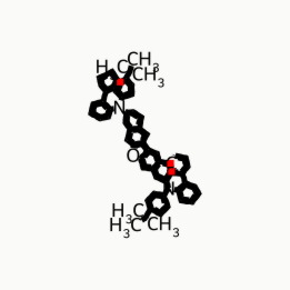 CC(C)(C)c1ccc(N(c2ccc3cc4c(cc3c2)oc2cc3cc(N(c5ccc(C(C)(C)C)cc5)c5ccccc5-c5ccccc5)ccc3cc24)c2ccccc2-c2ccccc2)cc1